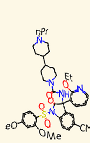 CCCN1CCC(C2CCN(C(=O)NC3(c4cccnc4OCC)C(=O)N(S(=O)(=O)c4ccc(OC)cc4OC)c4ccc(C#N)cc43)CC2)CC1